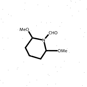 COC1CCCC(OC)N1C=O